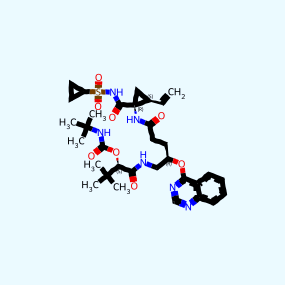 C=C[C@@H]1C[C@]1(NC(=O)CC[C@H](CNC(=O)[C@@H](OC(=O)NC(C)(C)C)C(C)(C)C)Oc1ncnc2ccccc12)C(=O)NS(=O)(=O)C1CC1